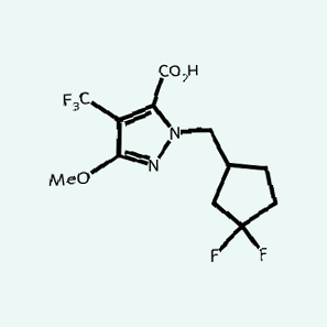 COc1nn(CC2CCC(F)(F)C2)c(C(=O)O)c1C(F)(F)F